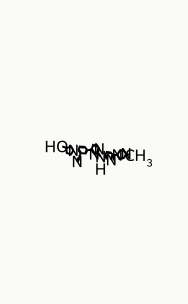 CN1CCN(c2ccc(Nc3nccc(-c4ccc(N5CCC(O)C5)c(C#N)c4)n3)cn2)CC1